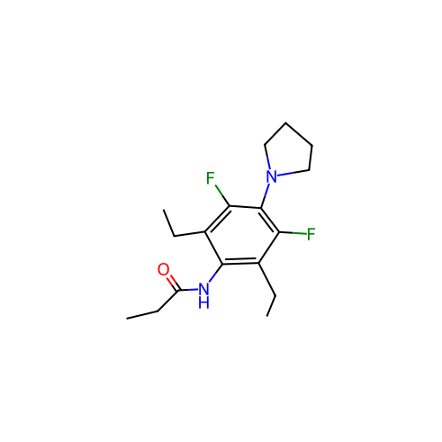 CCC(=O)Nc1c(CC)c(F)c(N2CCCC2)c(F)c1CC